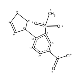 CS(=O)(=O)c1cc(C(=O)Cl)ccc1C1C=CCC1